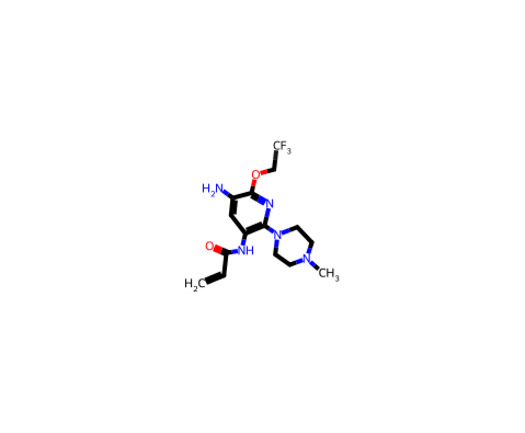 C=CC(=O)Nc1cc(N)c(OCC(F)(F)F)nc1N1CCN(C)CC1